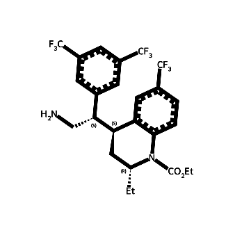 CCOC(=O)N1c2ccc(C(F)(F)F)cc2[C@H]([C@H](CN)c2cc(C(F)(F)F)cc(C(F)(F)F)c2)C[C@H]1CC